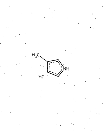 Cc1cc[nH]c1.F